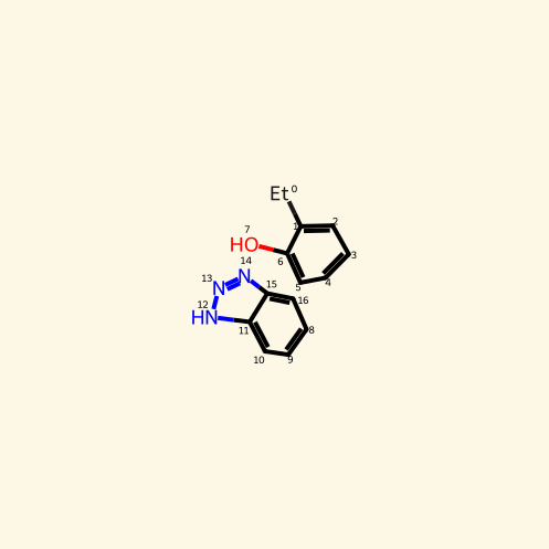 CCc1ccccc1O.c1ccc2[nH]nnc2c1